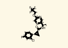 C[C@@H](NC(=O)[C@H]1C[C@@H]1c1ccc(F)cc1Cl)c1cnc(OCC(F)(F)F)cn1